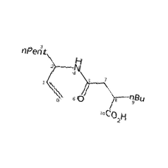 C=CC(CCCCC)NC(=O)CC(CCCC)C(=O)O